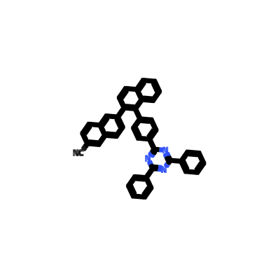 N#Cc1ccc2cc(-c3ccc4ccccc4c3-c3ccc(-c4nc(-c5ccccc5)nc(-c5ccccc5)n4)cc3)ccc2c1